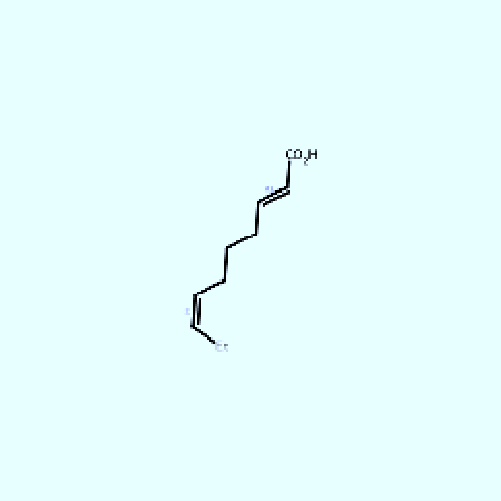 CC/C=C\CCC/C=C/C(=O)O